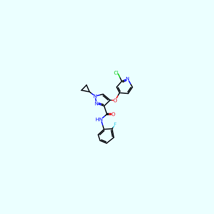 O=C(Nc1ccccc1F)c1nn(C2CC2)cc1Oc1ccnc(Cl)c1